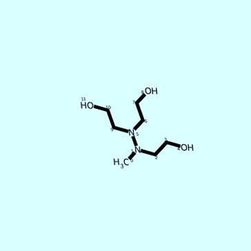 CN(CCO)N(CCO)CCO